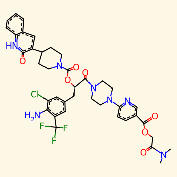 CN(C)C(=O)COC(=O)c1ccc(N2CCN(C(=O)[C@@H](Cc3cc(Cl)c(N)c(C(F)(F)F)c3)OC(=O)N3CCC(c4cc5ccccc5[nH]c4=O)CC3)CC2)nc1